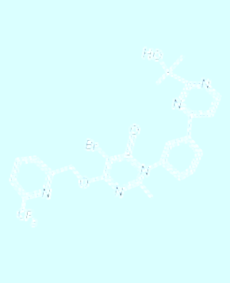 Cc1nc(OCc2cccc(C(F)(F)F)n2)c(Br)c(=O)n1-c1cccc(-c2ccnc(C(C)(C)O)n2)c1